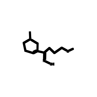 COCCC/C(=N\O)C1=CCCN(C)C1